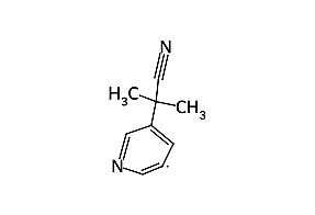 CC(C)(C#N)c1c[c]cnc1